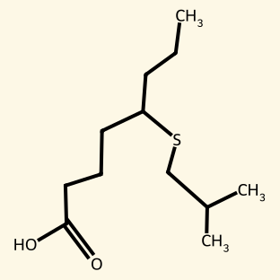 CCCC(CCCC(=O)O)SCC(C)C